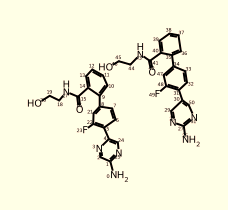 Nc1cnc(-c2ccc(-c3ccccc3C(=O)NCCO)cc2F)cn1.Nc1ncc(-c2ccc(-c3ccccc3C(=O)NCCO)cc2F)cn1